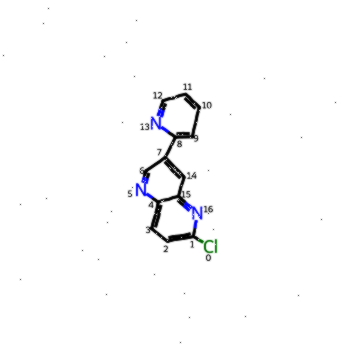 Clc1ccc2ncc(-c3ccccn3)cc2n1